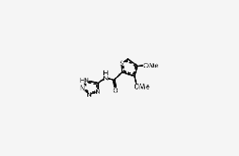 COc1csc(C(=O)Nc2nnn[nH]2)c1OC